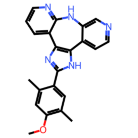 COc1cc(C)c(-c2nc3c([nH]2)-c2ccncc2Nc2ncccc2-3)cc1C